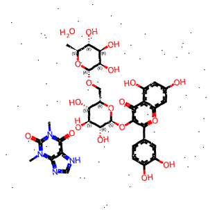 C[C@@H]1O[C@@H](OC[C@H]2O[C@@H](Oc3c(-c4ccc(O)c(O)c4)oc4cc(O)cc(O)c4c3=O)[C@H](O)[C@@H](O)[C@@H]2O)[C@H](O)[C@H](O)[C@H]1O.Cn1c(=O)c2[nH]cnc2n(C)c1=O.O